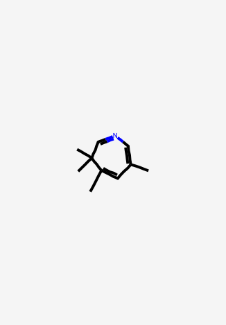 CC1=CN=CC(C)(C)C(C)=C1